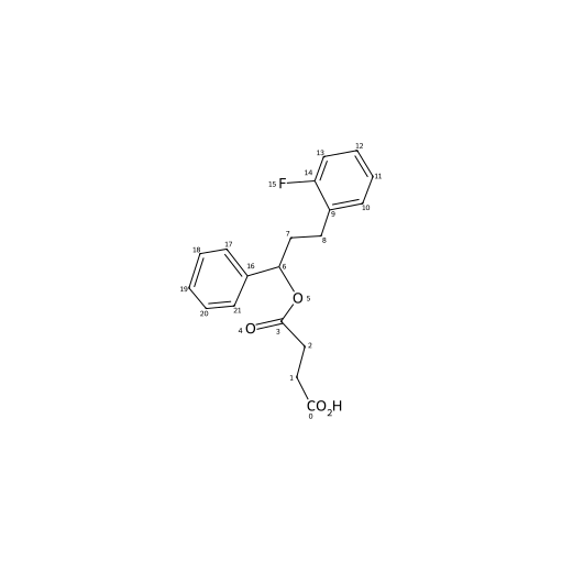 O=C(O)CCC(=O)OC(CCc1ccccc1F)c1ccccc1